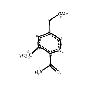 COCc1cnc(C(N)=O)c(C(=O)O)c1